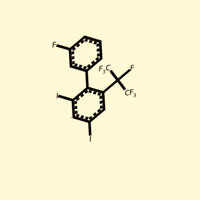 Fc1cccc(-c2c(I)[c]c(I)cc2C(F)(C(F)(F)F)C(F)(F)F)c1